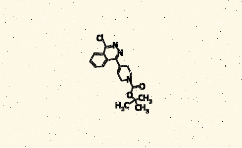 CC(C)(C)OC(=O)N1CC=C(c2nnc(Cl)c3ccccc23)CC1